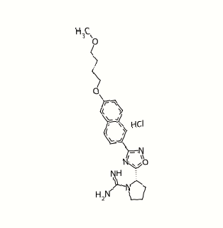 COCCCCOc1ccc2cc(-c3noc([C@@H]4CCCN4C(=N)N)n3)ccc2c1.Cl